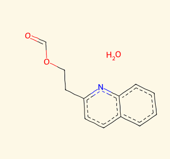 O.O=COCCc1ccc2ccccc2n1